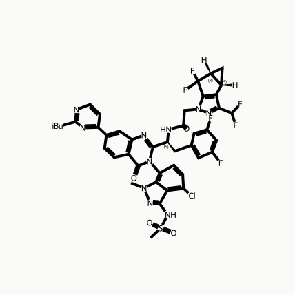 CCC(C)c1nccc(-c2ccc3c(=O)n(-c4ccc(Cl)c5c(NS(C)(=O)=O)nn(C)c45)c([C@H](Cc4cc(F)cc(F)c4)NC(=O)Cn4nc(C(F)F)c5c4C(F)(F)[C@@H]4C[C@H]54)nc3c2)n1